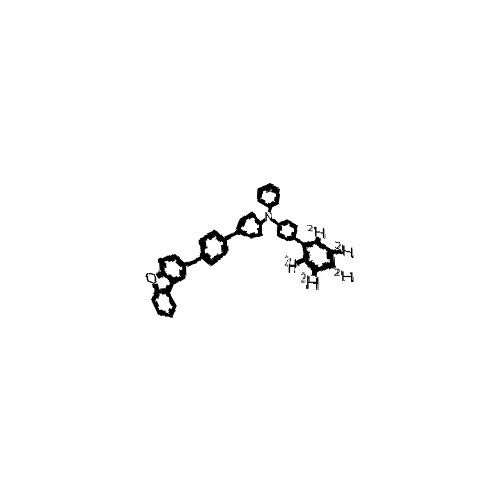 [2H]c1c([2H])c([2H])c(-c2ccc(N(c3ccccc3)c3ccc(-c4ccc(-c5ccc6oc7ccccc7c6c5)cc4)cc3)cc2)c([2H])c1[2H]